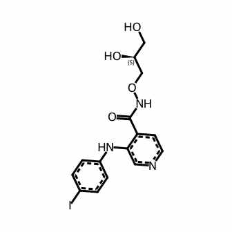 O=C(NOC[C@@H](O)CO)c1ccncc1Nc1ccc(I)cc1